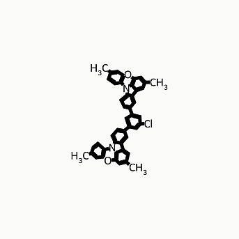 Cc1ccc2c(c1)Oc1cc(C)cc3c4cc(-c5cc(Cl)cc(-c6ccc7c(c6)c6cc(C)cc8c6n7-c6ccc(C)cc6O8)c5)ccc4n-2c13